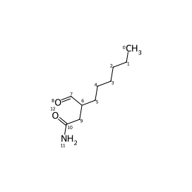 CCCCCCC(C=O)CC(N)=O